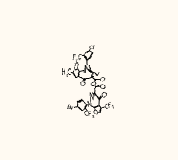 Cc1cc2c(=O)c(C(=O)OC(=O)c3nn(-c4ccc(Br)cc4C(F)(F)F)c4occ(C(F)(F)F)c4c3=O)nn(-c3ccc(Cl)cc3C(F)(F)F)c2o1